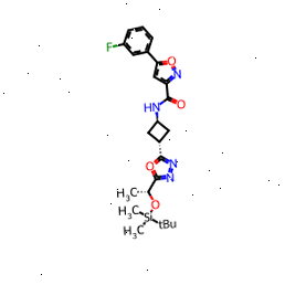 C[C@@H](O[Si](C)(C)C(C)(C)C)c1nnc([C@H]2C[C@H](NC(=O)c3cc(-c4cccc(F)c4)on3)C2)o1